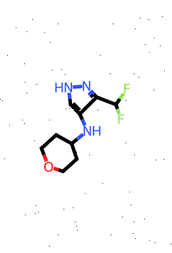 FC(F)c1n[nH]cc1NC1CCOCC1